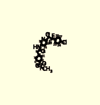 CCS(=O)(=O)c1ccc(CC(=O)Nc2ccc(C(=O)C(F)(F)c3ccc(Cl)cc3)nc2)cc1